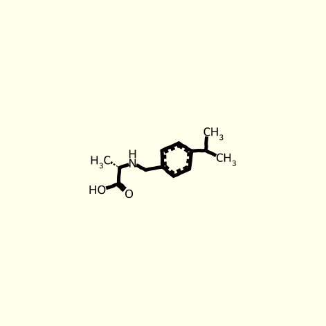 CC(C)c1ccc(CN[C@@H](C)C(=O)O)cc1